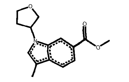 COC(=O)c1ccc2c(C)cn(C3CCOC3)c2c1